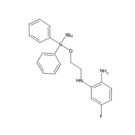 CC(C)(C)[Si](OCCNc1cc(F)ccc1N)(c1ccccc1)c1ccccc1